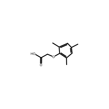 Cc1cc(C)c(OCC(=O)O)c(C)c1